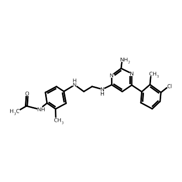 CC(=O)Nc1ccc(NCCNc2cc(-c3cccc(Cl)c3C)nc(N)n2)cc1C